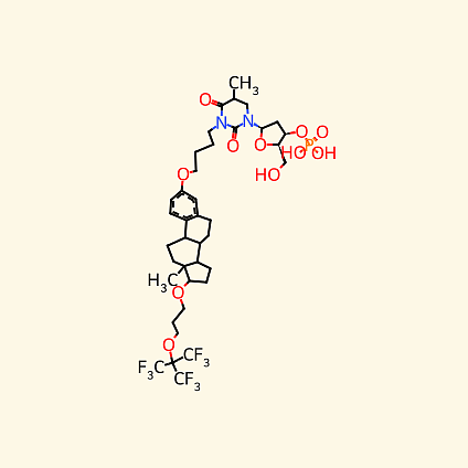 CC1CN([C@H]2C[C@@H](OP(=O)(O)O)[C@@H](CO)O2)C(=O)N(CCCCOc2ccc3c(c2)CCC2C3CCC3(C)C(OCCCOC(C(F)(F)F)(C(F)(F)F)C(F)(F)F)CCC23)C1=O